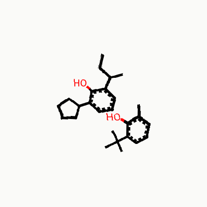 CCC(C)c1cccc(C2CCCC2)c1O.Cc1cccc(C(C)(C)C)c1O